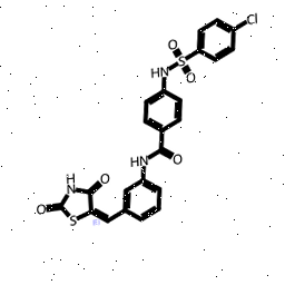 O=C1NC(=O)/C(=C\c2cccc(NC(=O)c3ccc(NS(=O)(=O)c4ccc(Cl)cc4)cc3)c2)S1